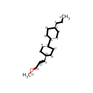 CCC[C@H]1CC[C@H]([C@H]2CC[C@H](/C=C/COC)CC2)CC1